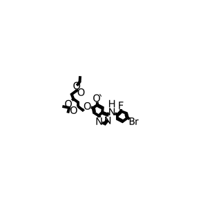 CCOC(=O)CC1CC(COc2cc3ncnc(Nc4ccc(Br)cc4F)c3cc2OC)OC(C)(C)O1